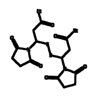 CCC(=O)CC(SSC(CC(=O)CC)N1C(=O)CCC1=O)N1C(=O)CCC1=O